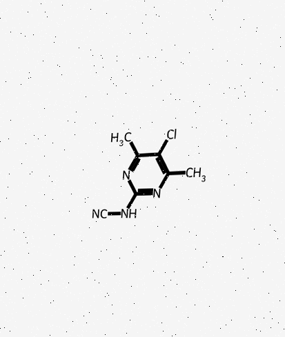 Cc1nc(NC#N)nc(C)c1Cl